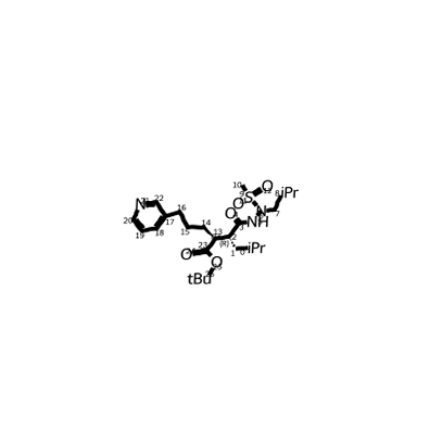 CC(C)C[C@@H](C(=O)NN(CC(C)C)S(C)(=O)=O)[C@H](CCCc1cccnc1)C(=O)OC(C)(C)C